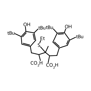 CCSC(C)(C(Cc1cc(C(C)(C)C)c(O)c(C(C)(C)C)c1)C(=O)O)C(Cc1cc(C(C)(C)C)c(O)c(C(C)(C)C)c1)C(=O)O